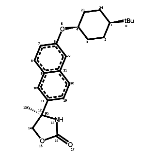 CC(C)(C)[C@H]1CC[C@@H](Oc2ccc3cc([C@]4(C)COC(=O)N4)ccc3c2)CC1